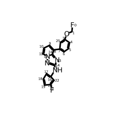 FCOc1cccc(-c2cccn3nc(Nc4cccc(F)c4)nc23)c1